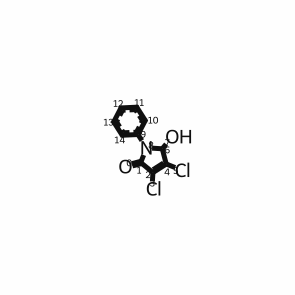 O=C1C(Cl)=C(Cl)C(O)N1c1ccccc1